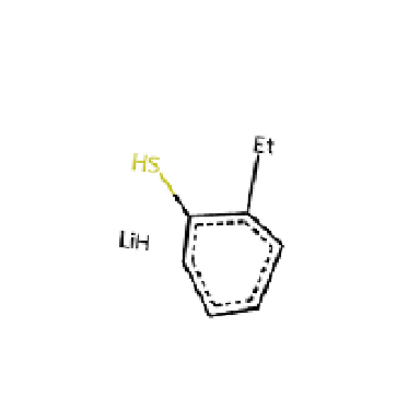 CCc1ccccc1S.[LiH]